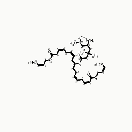 CCCCCC/C=C\COC(=O)/C=C\C/C=C\CCC(C/C=C\C/C=C\CC(=O)OC/C=C\CCCCCC)OC(=O)CC(C)(C)CC(C)CN(C)C